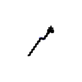 CCCCCCCCCCC=C/C=C\C=C/C=CC=COC(=O)C(C)(C)C